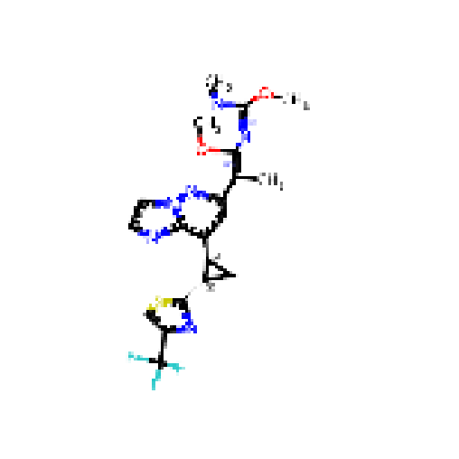 C=N/C(=N\C(OC)=C(/C)c1cc([C@H]2C[C@@H]2c2nc(C(F)(F)F)cs2)c2nccn2n1)OC